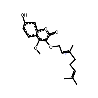 COc1c(OC/C=C(\C)CCC=C(C)C)c(=O)oc2cc(O)ccc12